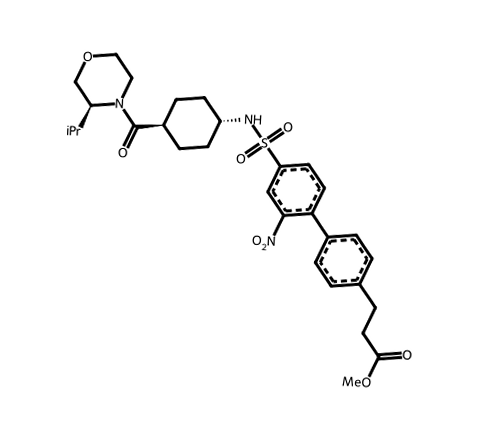 COC(=O)CCc1ccc(-c2ccc(S(=O)(=O)N[C@H]3CC[C@H](C(=O)N4CCOC[C@@H]4C(C)C)CC3)cc2[N+](=O)[O-])cc1